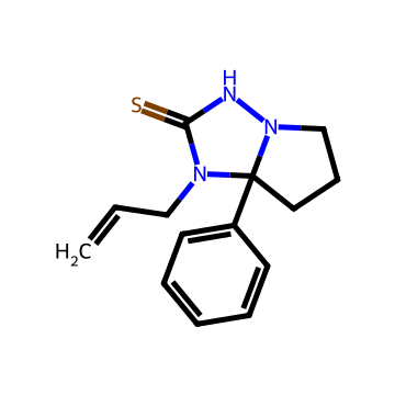 C=CCN1C(=S)NN2CCCC21c1ccccc1